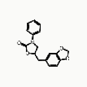 O=C1OC(Cc2ccc3c(c2)OCO3)CN1c1ccccc1